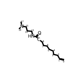 C=CCCCCCCCCC(=O)NCCCN(C)C